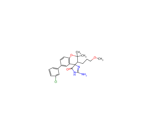 COCCCC1C(C)(C)Oc2ccc(-c3cccc(Cl)c3)cc2C12N=C(N)NC2=O